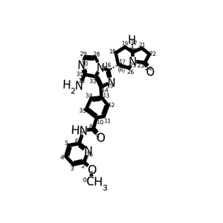 COc1cccc(NC(=O)c2ccc(-c3nc([C@@H]4CC[C@H]5CCC(=O)N5C4)n4ccnc(N)c34)cc2)n1